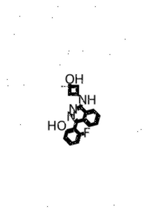 C[C@]1(O)C[C@@H](Nc2nnc(-c3c(O)cccc3F)c3ccccc23)C1